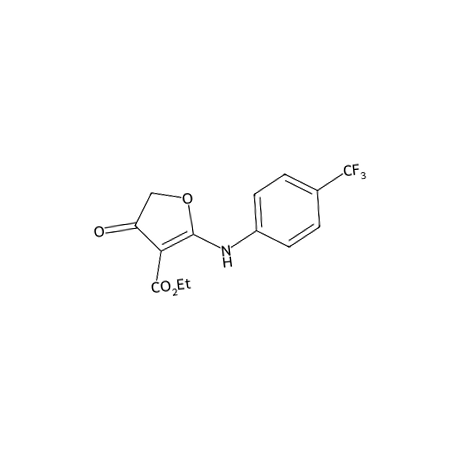 CCOC(=O)C1=C(Nc2ccc(C(F)(F)F)cc2)OCC1=O